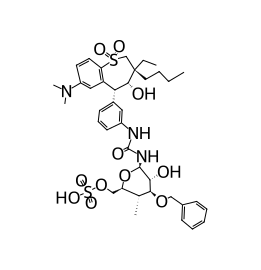 CCCC[C@]1(CC)CS(=O)(=O)c2ccc(N(C)C)cc2[C@@H](c2cccc(NC(=O)N[C@@H]3O[C@H](COS(=O)(=O)O)[C@@H](C)[C@H](OCc4ccccc4)[C@H]3O)c2)[C@H]1O